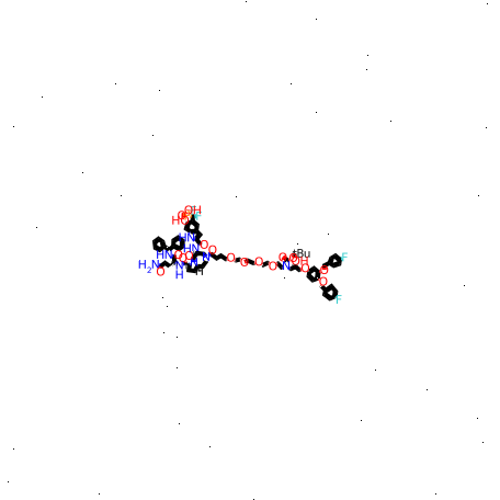 CC(C)(C)OC(=O)N(CCOCCOCCOCCOCCCC(=O)N1CC[C@H]2CC[C@@H](C(=O)N[C@@H](CCC(N)=O)C(=O)NC(c3ccccc3)c3ccccc3)N2C(=O)[C@@H](NC(=O)c2cc3cc(C(F)(F)P(=O)(O)O)ccc3[nH]2)C1)C[C@@H](O)COc1ccc(OCc2ccc(F)cc2)c(OCc2ccc(F)cc2)c1